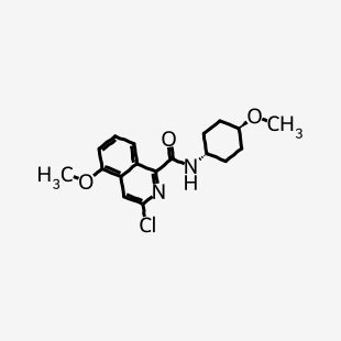 COc1cccc2c(C(=O)N[C@H]3CC[C@H](OC)CC3)nc(Cl)cc12